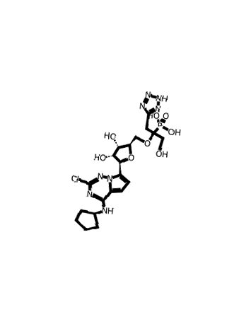 O=P(O)(O)C(CO)(Cc1nn[nH]n1)OC[C@H]1O[C@@H](c2ccc3c(NC4CCCC4)nc(Cl)nn23)[C@H](O)[C@@H]1O